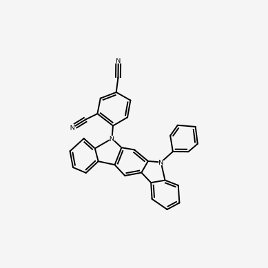 N#Cc1ccc(-n2c3ccccc3c3cc4c5ccccc5n(-c5ccccc5)c4cc32)c(C#N)c1